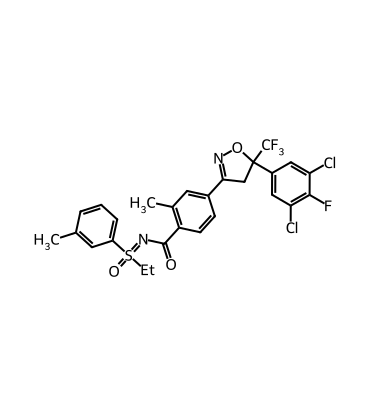 CCS(=O)(=NC(=O)c1ccc(C2=NOC(c3cc(Cl)c(F)c(Cl)c3)(C(F)(F)F)C2)cc1C)c1cccc(C)c1